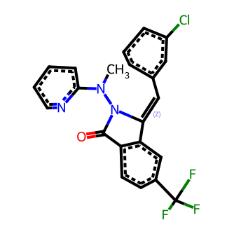 CN(c1ccccn1)N1C(=O)c2ccc(C(F)(F)F)cc2/C1=C/c1cccc(Cl)c1